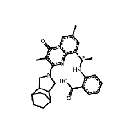 Cc1cc([C@@H](C)Nc2ccccc2C(=O)O)c2nc(N3CC4C5CCC(CC5)C4C3)c(C)c(=O)n2c1